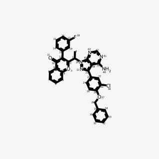 CC(c1oc2ccccc2c(=O)c1-c1cccc(F)c1)n1nc(-c2ccc(OCc3ccccc3)c(Cl)c2)c2c(N)ncnc21